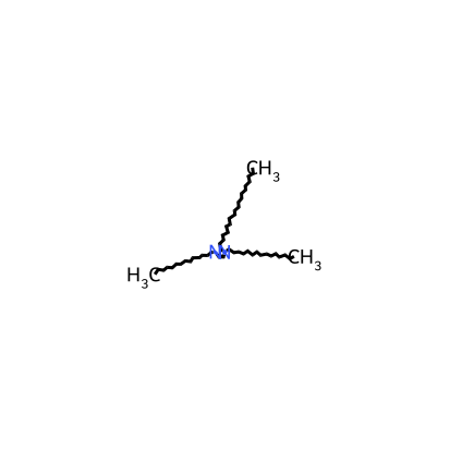 CCCCCCCCCCCCCCCCCCCC1N(CCCCCCCCCCCCCC)C=CN1CCCCCCCCCCCCCCC